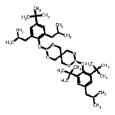 CC(C)Cc1cc(C(C)(C)C)c(OP2OCC3(COP(Oc4c(CC(C)C)cc(C(C)(C)C)cc4CC(C)C)OC3)CO2)c(C(C)(C)C)c1